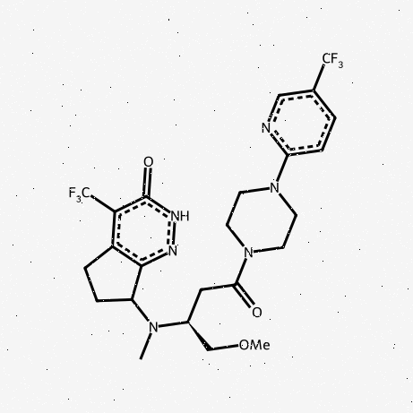 COC[C@H](CC(=O)N1CCN(c2ccc(C(F)(F)F)cn2)CC1)N(C)C1CCc2c1n[nH]c(=O)c2C(F)(F)F